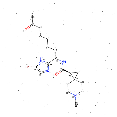 CCC(=O)CCCCC[C@H](NC(=O)[C@H]1CC12CCN(CC)CC2)c1ncc(Br)[nH]1